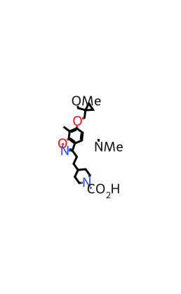 CNC.COCC1(COc2ccc3c(CCC4CCN(C(=O)O)CC4)noc3c2C)CC1